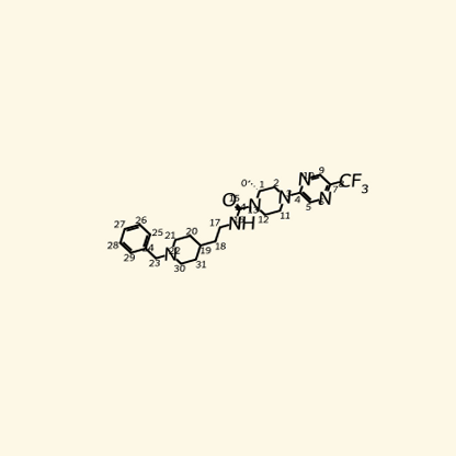 C[C@@H]1CN(c2cnc(C(F)(F)F)cn2)CCN1C(=O)NCCC1CCN(Cc2ccccc2)CC1